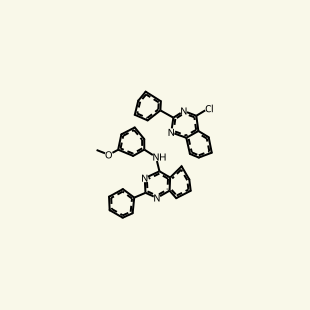 COc1cccc(Nc2nc(-c3ccccc3)nc3ccccc23)c1.Clc1nc(-c2ccccc2)nc2ccccc12